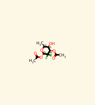 CC(=O)O[C@@H]1O[C@@H](C)[C@@H](O)[C@@H](OC(C)=O)C1(F)F